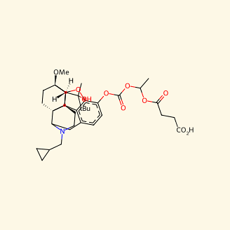 CO[C@]12CC[C@@]3(C[C@@H]1C(C)(O)C(C)(C)C)C1Cc4ccc(OC(=O)OC(C)OC(=O)CCC(=O)O)c5c4[C@@]3(CCN1CC1CC1)[C@H]2O5